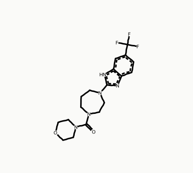 O=C(N1CCOCC1)N1CCCN(c2nc3ccc(C(F)(F)F)cc3[nH]2)CC1